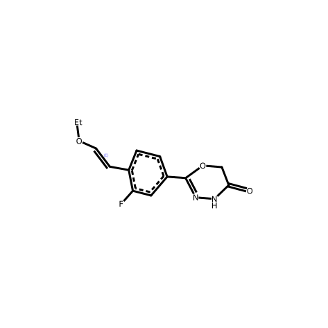 CCO/C=C/c1ccc(C2=NNC(=O)CO2)cc1F